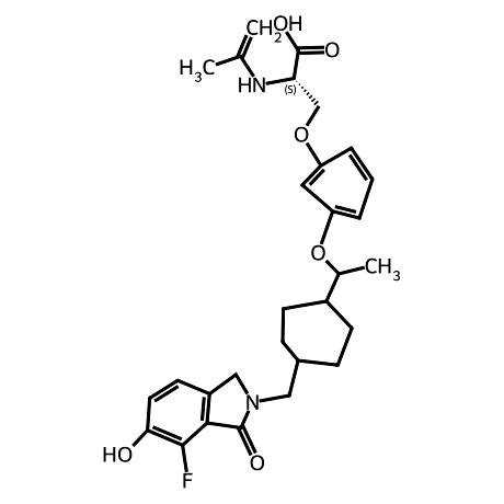 C=C(C)N[C@@H](COc1cccc(OC(C)C2CCC(CN3Cc4ccc(O)c(F)c4C3=O)CC2)c1)C(=O)O